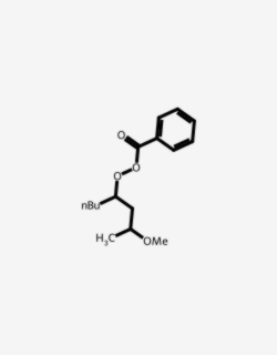 CCCCC(CC(C)OC)OOC(=O)c1ccccc1